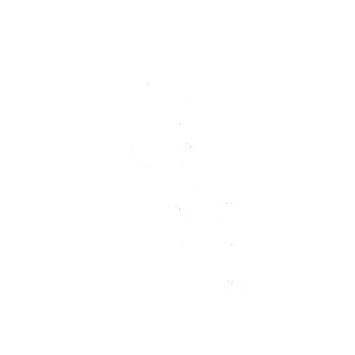 O=C(Nc1ccc([N+](=O)[O-])cc1O)C(=O)Nc1cc(Cl)cc(Cl)c1O